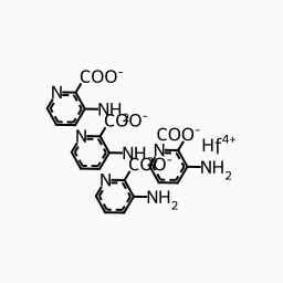 Nc1cccnc1C(=O)[O-].Nc1cccnc1C(=O)[O-].Nc1cccnc1C(=O)[O-].Nc1cccnc1C(=O)[O-].[Hf+4]